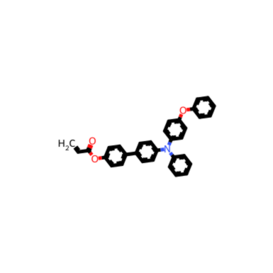 C=CC(=O)Oc1ccc(-c2ccc(N(c3ccccc3)c3ccc(Oc4ccccc4)cc3)cc2)cc1